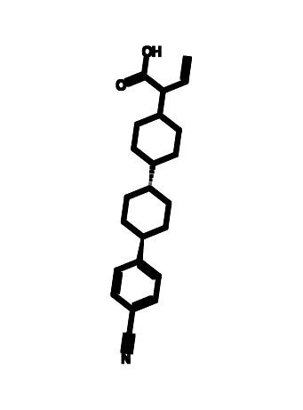 C=CC(C(=O)O)C1CCC([C@H]2CC[C@H](c3ccc(C#N)cc3)CC2)CC1